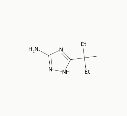 CCC(C)(CC)c1nc(N)n[nH]1